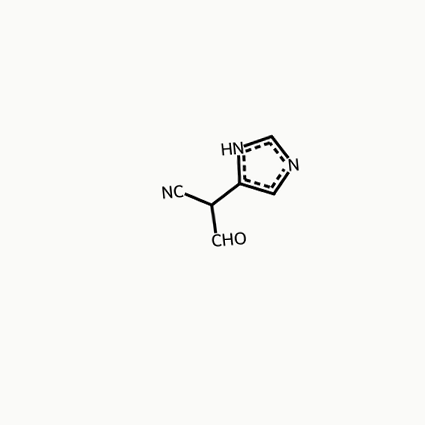 N#CC(C=O)c1cnc[nH]1